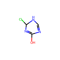 OC1=N[C](Cl)NC=N1